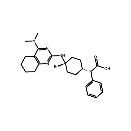 CN(C)c1nc(N[C@]2(Br)CC[C@H](N(C(=O)O)c3ccccc3)CC2)nc2c1CCCC2